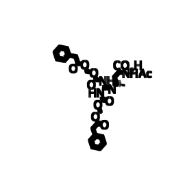 CC(=O)NC(C[C@H](C)N=C(NC(=O)OCOC(=O)Cc1ccccc1)NC(=O)OCOC(=O)Cc1ccccc1)C(=O)O